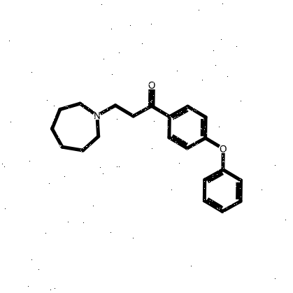 O=C(CCN1CCCCCC1)c1ccc(Oc2ccccc2)cc1